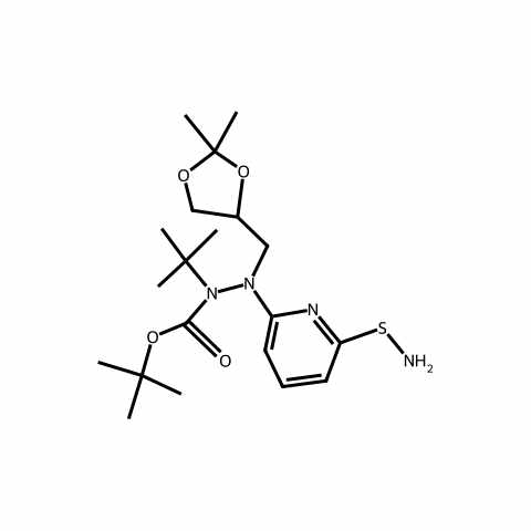 CC(C)(C)OC(=O)N(N(CC1COC(C)(C)O1)c1cccc(SN)n1)C(C)(C)C